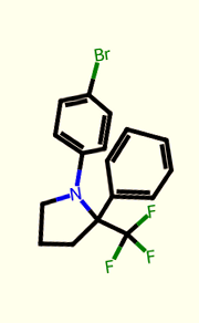 FC(F)(F)C1(c2ccccc2)CCCN1c1ccc(Br)cc1